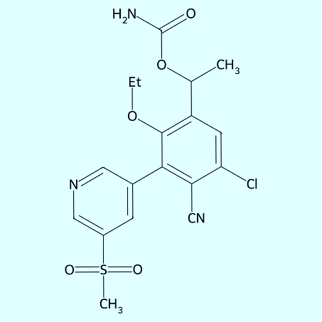 CCOc1c(C(C)OC(N)=O)cc(Cl)c(C#N)c1-c1cncc(S(C)(=O)=O)c1